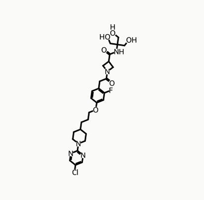 O=C(NC(CO)(CO)CO)C1CN(C(=O)Cc2ccc(OCCCC3CCN(c4ncc(Cl)cn4)CC3)cc2F)C1